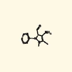 CC1=C(N)C(C=O)N(c2ccccc2)N1C